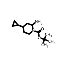 CC(C)(C)OC(=O)N1CCC(C2CC2)CC1N